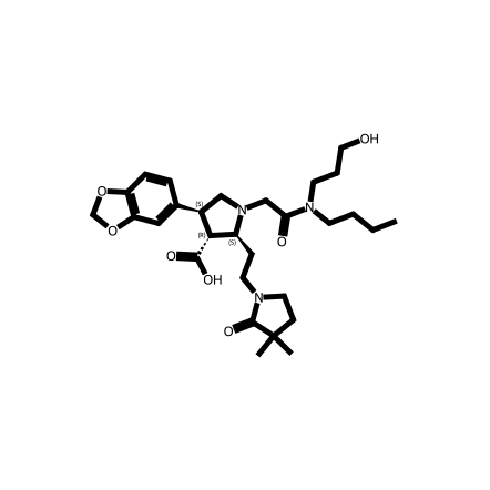 CCCCN(CCCO)C(=O)CN1C[C@H](c2ccc3c(c2)OCO3)[C@@H](C(=O)O)[C@@H]1CCN1CCC(C)(C)C1=O